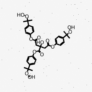 CC(C)(OO)c1ccc(OC(=O)CC(O)(CC(=O)Oc2ccc(C(C)(C)OO)cc2)C(=O)Oc2ccc(C(C)(C)OO)cc2)cc1